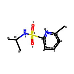 Cc1cccc(S(=O)(=O)NC(C)C)n1